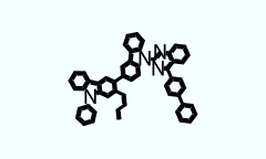 C=C/C=C\c1cc2c(cc1-c1ccc3c(c1)c1ccccc1n3-c1nc(-c3ccc(-c4ccccc4)cc3)c3ccccc3n1)c1ccccc1n2-c1ccccc1